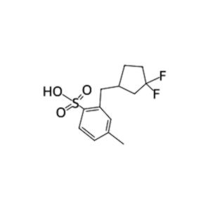 Cc1ccc(S(=O)(=O)O)c(CC2CCC(F)(F)C2)c1